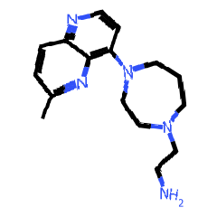 Cc1ccc2nccc(N3CCCN(CCN)CC3)c2n1